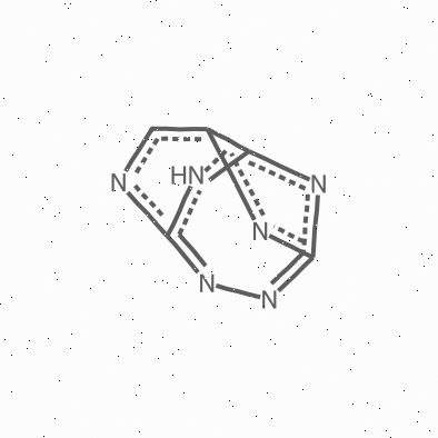 c1nc2[nH]c3nc(nc1-3)=NN=2